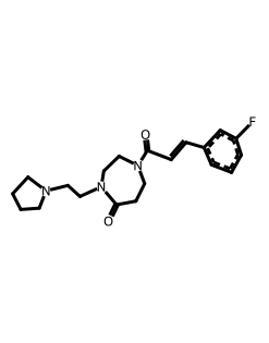 O=C(C=Cc1cccc(F)c1)N1CCC(=O)N(CCN2CCCC2)CC1